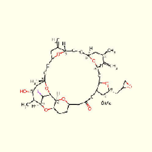 C=C1CC2CC[C@@]3(C)C[C@@H](O)C(C)[C@@H]4OC5CCC(CC(=O)CC6C(C[C@H]7O[C@@H](CC[C@@H]1O2)C[C@@H](C)C7=C)O[C@H](CC1CO1)[C@@H]6OC)O[C@@H]5C(O3)C4I